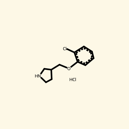 Cl.Clc1ccccc1OCC1CCNC1